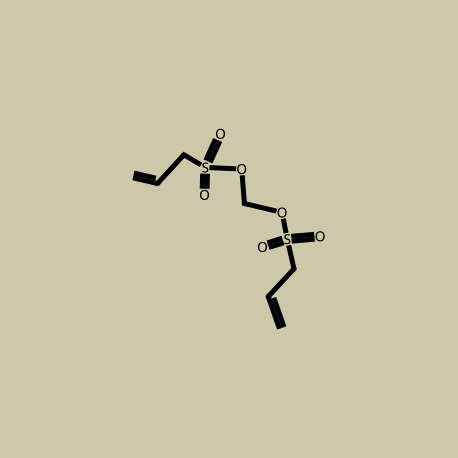 C=CCS(=O)(=O)OCOS(=O)(=O)CC=C